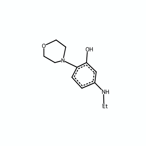 CCNc1ccc(N2CCOCC2)c(O)c1